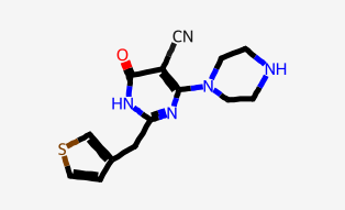 N#Cc1c(N2CCNCC2)nc(Cc2ccsc2)[nH]c1=O